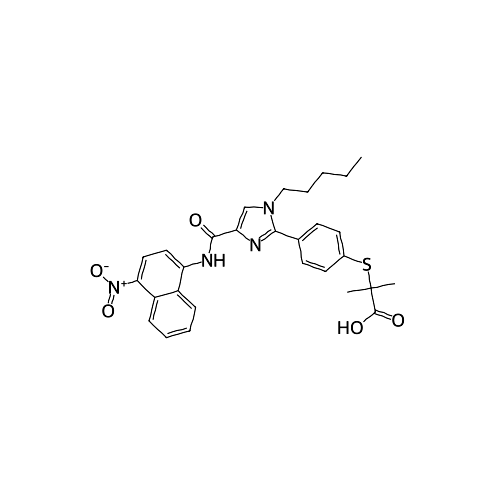 CCCCCn1cc(C(=O)Nc2ccc([N+](=O)[O-])c3ccccc23)nc1-c1ccc(SC(C)(C)C(=O)O)cc1